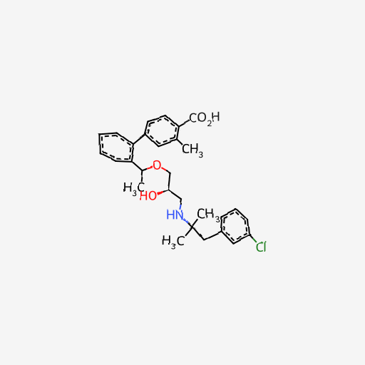 Cc1cc(-c2ccccc2C(C)OC[C@H](O)CNC(C)(C)Cc2cccc(Cl)c2)ccc1C(=O)O